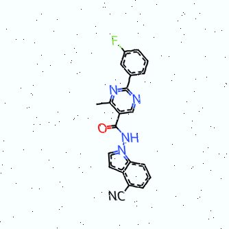 Cc1nc(-c2cccc(F)c2)ncc1C(=O)Nn1ccc2c(C#N)cccc21